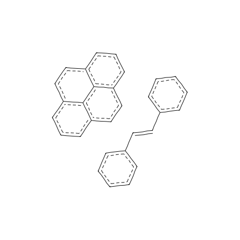 C(=Cc1ccccc1)c1ccccc1.c1cc2ccc3cccc4ccc(c1)c2c34